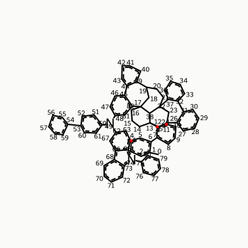 Cc1ccccc1-c1ccccc1C12CCCC34CC(CCC5(CC(C1)c1ccccc1-c1ccccc15)C23)c1ccccc1-c1ccc(N(c2ccc(-c3ccccc3)cc2)c2ccc3c(c2)c2ccccc2n3-c2ccccc2)cc14